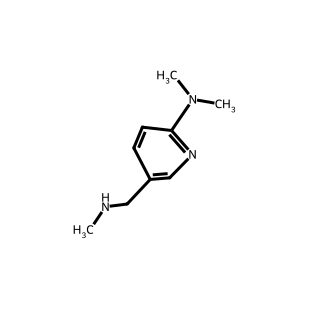 CNCc1ccc(N(C)C)nc1